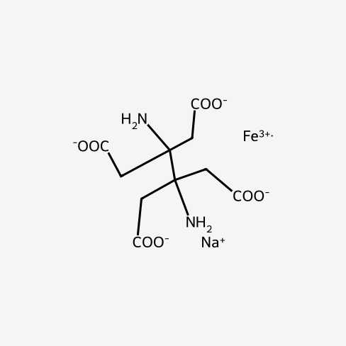 NC(CC(=O)[O-])(CC(=O)[O-])C(N)(CC(=O)[O-])CC(=O)[O-].[Fe+3].[Na+]